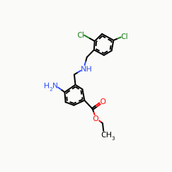 CCOC(=O)c1ccc(N)c(CNCc2ccc(Cl)cc2Cl)c1